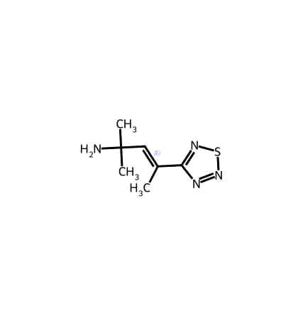 C/C(=C\C(C)(C)N)c1nnsn1